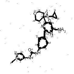 Cn1cc(NC(=O)Nc2ccc(-c3nc(N)cc(C4(S(=O)(=O)C5CC5)CCOCC4)n3)cc2)cn1